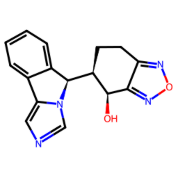 O[C@@H]1c2nonc2CC[C@@H]1[C@@H]1c2ccccc2-c2cncn21